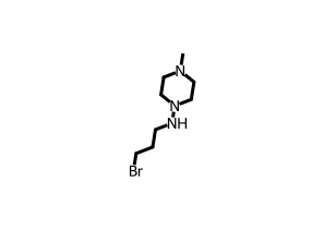 CN1CCN(NCCCBr)CC1